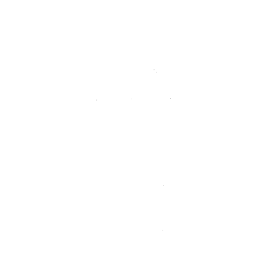 C#Cc1cc(=O)n(-c2ccccc2)c2nc(Nc3ccc(N4CCN(C)CC4)c(CC)c3)ncc12